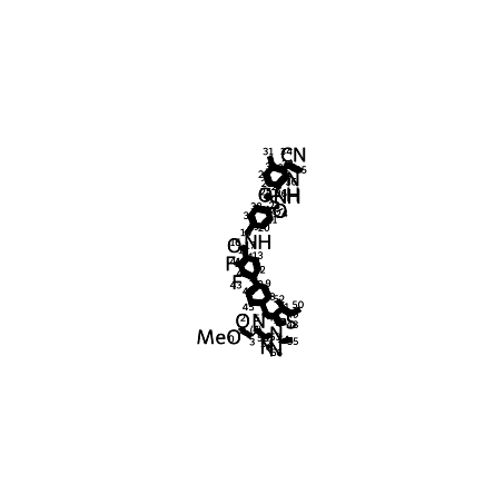 COC(=O)C[C@@H]1N=C(c2ccc(-c3ccc(C(=O)NCc4ccc(S(=O)(=O)Nc5ccc(C)c6c(C#N)c[nH]c56)cc4)c(F)c3F)cc2)c2c(sc(C)c2C)-n2c(C)nnc21